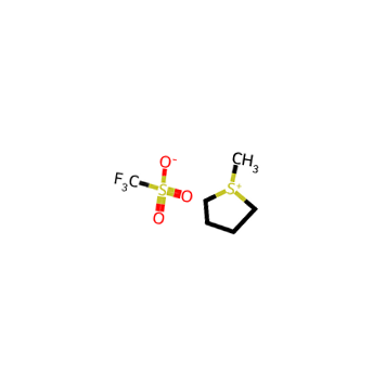 C[S+]1CCCC1.O=S(=O)([O-])C(F)(F)F